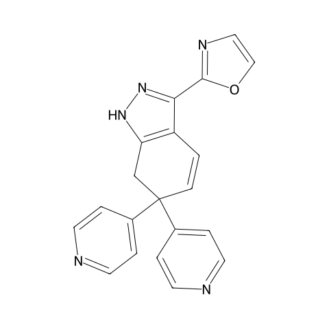 C1=CC(c2ccncc2)(c2ccncc2)Cc2[nH]nc(-c3ncco3)c21